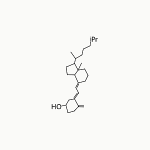 C=C1CCC(O)CC1=CC=C1CCCC2(C)C1CCC2C(C)CCCC(C)C